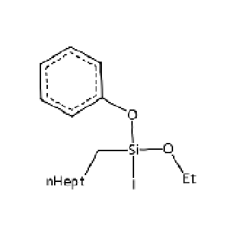 CCCCCCCC[Si](I)(OCC)Oc1ccccc1